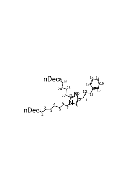 CCCCCCCCCCCCCCCCCn1cc(CCCc2ccccc2)nc1CCCCCCCCCCCCCC